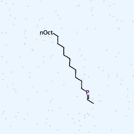 CC=PCCCCCCCCCCCCCCCCCC